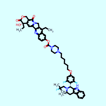 CCc1c2c(nc3ccc(OC(=O)N4CCN(CCCCCCOc5cc(F)c([C@@H]6c7[nH]c8ccccc8c7C[C@@H](C)N6CC(C)(C)F)c(F)c5)CC4)cc13)-c1cc3c(c(=O)n1C2)COC(=O)[C@]3(O)CC